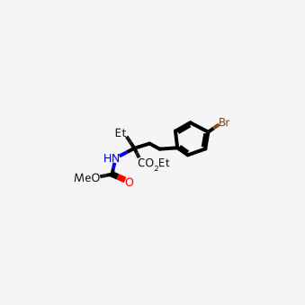 CCOC(=O)C(CC)(CCc1ccc(Br)cc1)NC(=O)OC